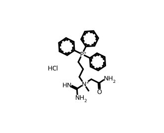 C[N+](CCC[P+](c1ccccc1)(c1ccccc1)c1ccccc1)(CC(N)=O)C(=N)N.Cl